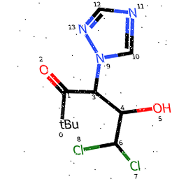 CC(C)(C)C(=O)C(C(O)C(Cl)Cl)n1cncn1